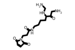 NCNC(CCCCNC(=O)CCN1C(=O)C=CC1=O)C(=O)CN